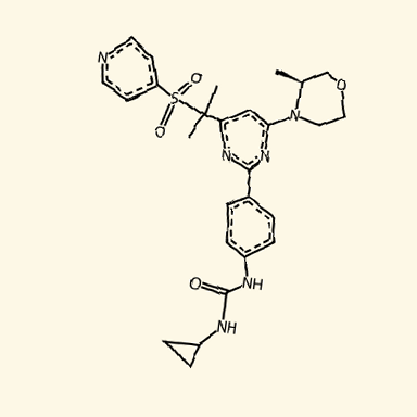 C[C@H]1COCCN1c1cc(C(C)(C)S(=O)(=O)c2ccncc2)nc(-c2ccc(NC(=O)NC3CC3)cc2)n1